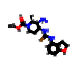 C[C@@H]1[C@H](N)[C@H](NC(=S)Nc2cccc3c2CCO3)CCN1C(=O)OC(C)(C)C